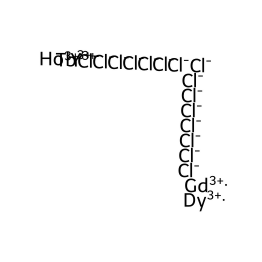 [Cl-].[Cl-].[Cl-].[Cl-].[Cl-].[Cl-].[Cl-].[Cl-].[Cl-].[Cl-].[Cl-].[Cl-].[Cl-].[Cl-].[Cl-].[Dy+3].[Gd+3].[Ho+3].[Tb+3].[Y+3]